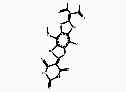 COc1c2c(c(O)c3c1OC(=C(C(C)=O)C(C)=O)N3)OC(=C1C(=O)NC(=S)NC1=O)N2